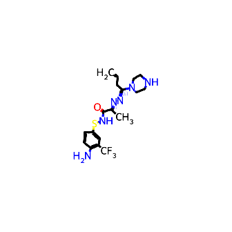 C=CC/C(=N\N=C(/C)C(=O)NSc1ccc(N)c(C(F)(F)F)c1)N1CCNCC1